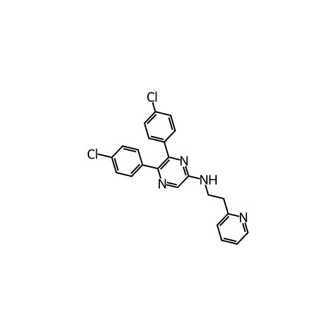 Clc1ccc(-c2ncc(NCCc3ccccn3)nc2-c2ccc(Cl)cc2)cc1